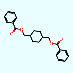 O=C(OCC1CCC(COC(=O)c2ccccc2)CC1)c1ccccc1